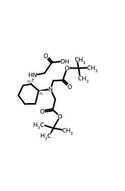 CC(C)(C)OC(=O)CN(CC(=O)OC(C)(C)C)[C@H]1CCCC[C@@H]1NCC(=O)O